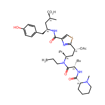 BCCN(C(=O)[C@@H](NC(=O)[C@H]1CCCCN1C)C(C)CC)[C@H](C[C@@H](OC(C)=O)c1nc(C(=O)N[C@@H](Cc2ccc(O)cc2)C[C@H](C)C(=O)O)cs1)C(C)C